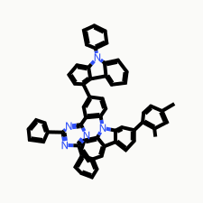 Cc1ccc(-c2ccc3c4ccccc4n(-c4ccc(-c5cccc6c5c5ccccc5n6-c5ccccc5)cc4-c4nc(-c5ccccc5)nc(-c5ccccc5)n4)c3c2)c(C)c1